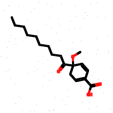 CCCCCCCCCC(=O)C1(OC)C=CC(C(=O)O)=CC1